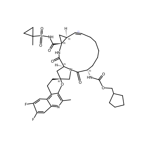 Cc1nc2cc(F)c(F)cc2c2c1O[C@]1(CC2)C[C@H]2C(=O)N[C@]3(C(=O)NS(=O)(=O)C4(C)CC4)C[C@H]3/C=C\CCCCC[C@H](NC(=O)OCC3CCCC3)C(=O)N2C1